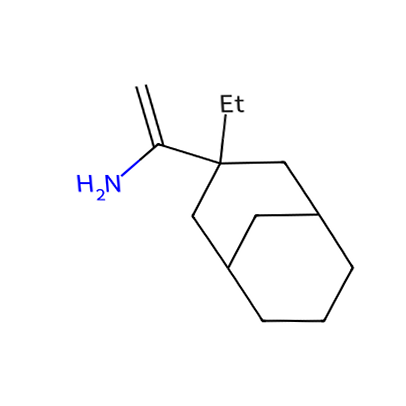 C=C(N)C1(CC)CC2CCCC(C2)C1